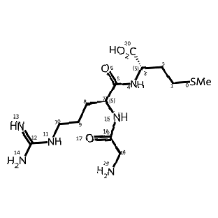 CSCC[C@H](NC(=O)[C@H](CCCNC(=N)N)NC(=O)CN)C(=O)O